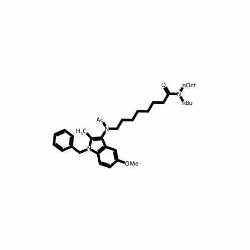 CCCCCCCCN(CCCC)C(=O)CCCCCCCN(C(C)=O)c1c(C)n(Cc2ccccc2)c2ccc(OC)cc12